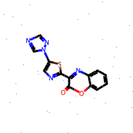 O=c1oc2ccccc2nc1-c1ncc(-n2cncn2)s1